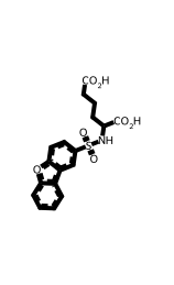 O=C(O)CCCC(NS(=O)(=O)c1ccc2oc3ccccc3c2c1)C(=O)O